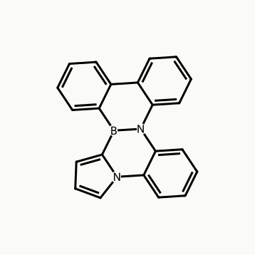 c1ccc2c(c1)B1c3cccn3-c3ccccc3N1c1ccccc1-2